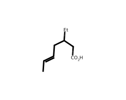 CC=CCC(CC)CC(=O)O